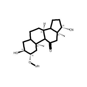 CCCO[C@H]1C[C@@]2(C)C(CC[C@@H]3C2C(=O)C[C@@]2(C)C3CC[C@@H]2C#N)C[C@@H]1O